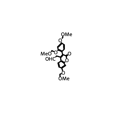 COCOc1ccc(-c2c(CC=O)c3ccc(OCOC)cc3oc2=O)c(OCOC)c1